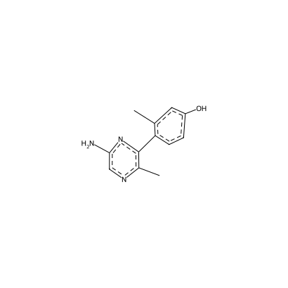 Cc1cc(O)ccc1-c1nc(N)cnc1C